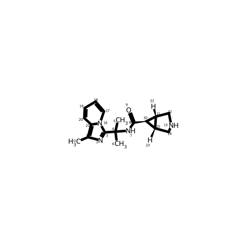 Cc1nc(C(C)(C)NC(=O)[C@H]2[C@@H]3CNC[C@@H]32)n2ccccc12